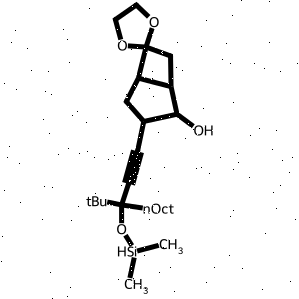 CCCCCCCCC(C#CC1CC2C(CC23OCCO3)C1O)(O[SiH](C)C)C(C)(C)C